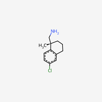 C[C@@]1(CN)CCCc2cc(Cl)ccc21